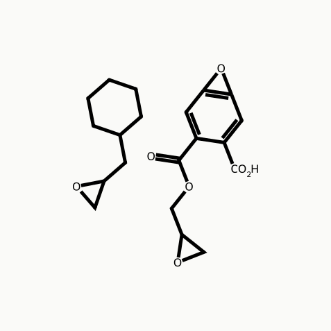 C1CCC(CC2CO2)CC1.O=C(O)c1cc2c(cc1C(=O)OCC1CO1)O2